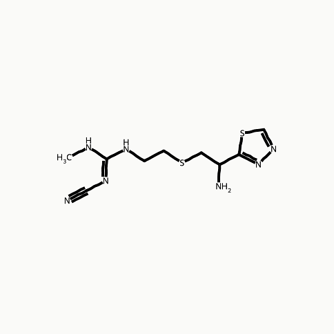 CNC(=NC#N)NCCSCC(N)c1nncs1